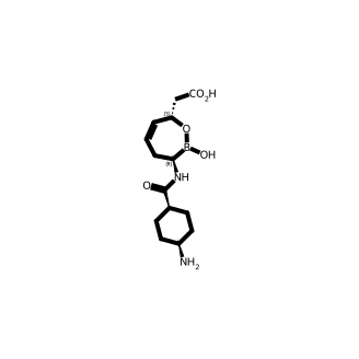 N[C@H]1CC[C@@H](C(=O)N[C@H]2CC=C[C@H](CC(=O)O)OB2O)CC1